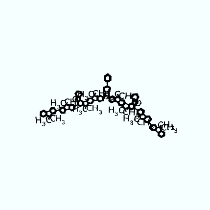 CC1(C)c2ccccc2-c2ccc(-c3ccc4c(c3)C(C)(C)c3cc(-c5cc6c(c7c5oc5ccccc57)-c5cc7c(cc5C6(C)C)-c5ccc(N(c6ccc(-c8ccccc8)cc6)c6ccc8c(c6)C(C)(C)c6cc9c(cc6-8)C(C)(C)c6cc(-c8ccc%10c(c8)C(C)(C)c8cc(-c%11ccc%12c(c%11)C(C)(C)c%11ccccc%11-%12)ccc8-%10)c8oc%10ccccc%10c8c6-9)cc5C7(C)C)ccc3-4)cc21